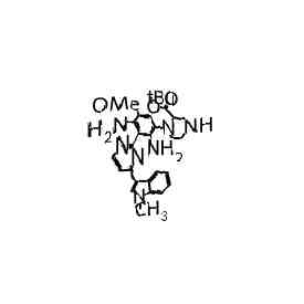 COc1cc(N2CCNCC2C(=O)OC(C)(C)C)c(N)c(-c2nccc(-c3cn(C)c4ccccc34)n2)c1N